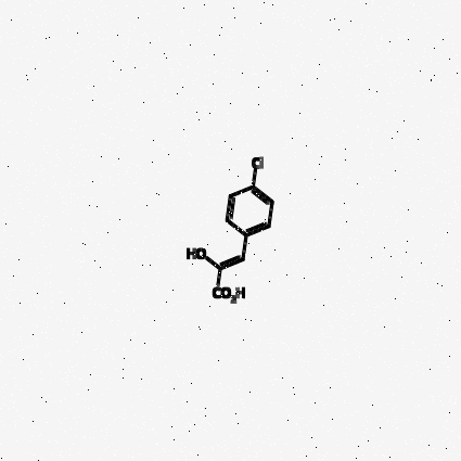 O=C(O)C(O)=Cc1ccc(Cl)cc1